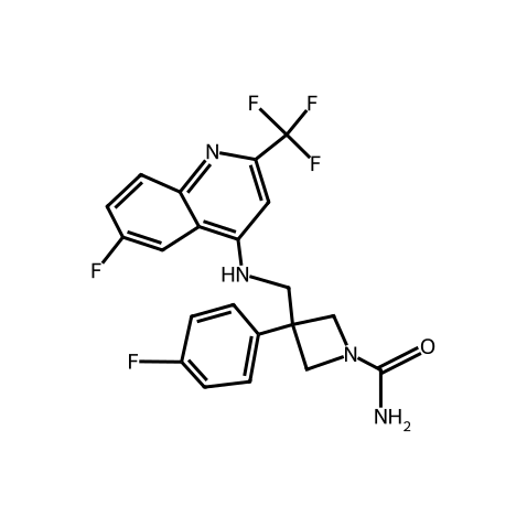 NC(=O)N1CC(CNc2cc(C(F)(F)F)nc3ccc(F)cc23)(c2ccc(F)cc2)C1